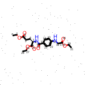 CCOC(=O)CC[C@@H](NC(=O)c1ccc(NCC(=O)OCC)cc1)C(=O)OCC